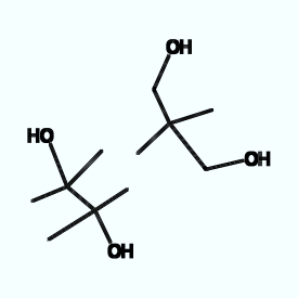 CC(C)(CO)CO.CC(C)(O)C(C)(C)O